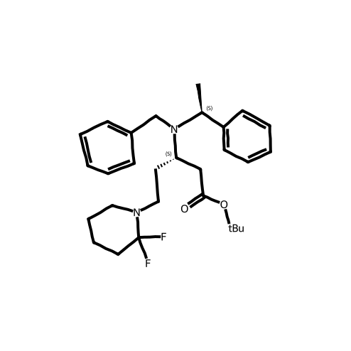 C[C@@H](c1ccccc1)N(Cc1ccccc1)[C@@H](CCN1CCCCC1(F)F)CC(=O)OC(C)(C)C